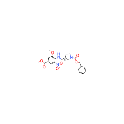 COC(=O)c1cc(OC)c(NC[C@H]2CCN(C(=O)OCc3ccccc3)C2)c([N+](=O)[O-])c1